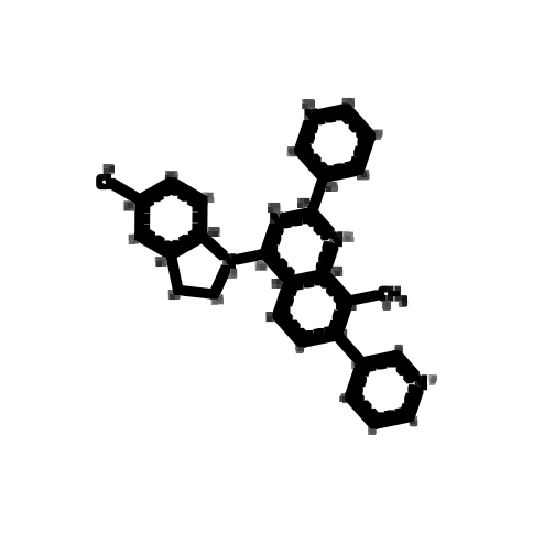 Cc1c(-c2cccnc2)ccc2c(N3CCc4cc(Cl)ccc43)nc(-c3cccnc3)nc12